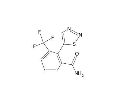 NC(=O)c1cccc(C(F)(F)F)c1-c1cnns1